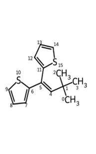 CC(C)(C)C=C(c1cccs1)c1cccs1